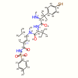 CN[C@H](C(=O)N[C@H](C(=O)N(C)[C@H](/C=C(\C)C(=O)NS(=O)(=O)c1ccc(C)cc1)C(C)C)C(C)(C)C)C(C)(C)c1ccc(S)cc1